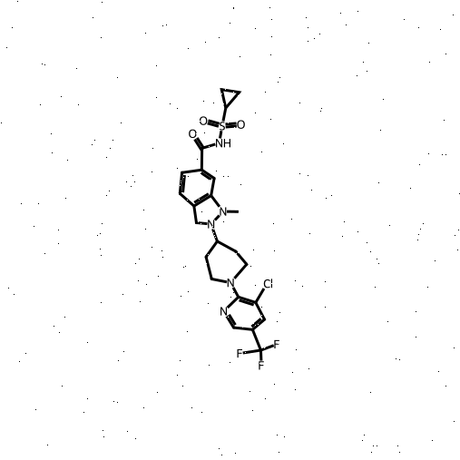 CN1c2cc(C(=O)NS(=O)(=O)C3CC3)ccc2CN1C1CCN(c2ncc(C(F)(F)F)cc2Cl)CC1